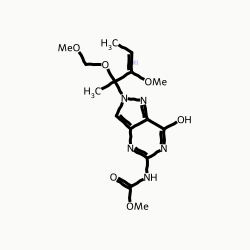 C/C=C(/OC)C(C)(OCOC)n1cc2nc(NC(=O)OC)nc(O)c2n1